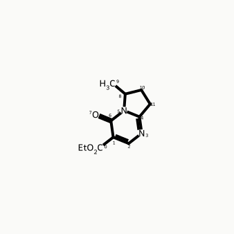 CCOC(=O)c1cnc2n(c1=O)C(C)CC2